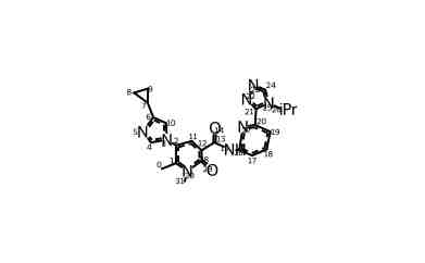 Cc1c(-n2cnc(C3CC3)c2)cc(C(=O)Nc2cccc(-c3nncn3C(C)C)n2)c(=O)n1C